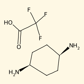 N[C@H]1CC[C@@H](N)CC1.O=C(O)C(F)(F)F